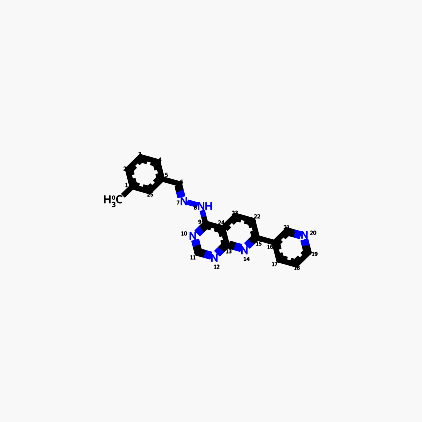 Cc1cccc(C=NNc2ncnc3nc(-c4cccnc4)ccc23)c1